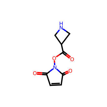 O=C(ON1C(=O)C=CC1=O)C1CNC1